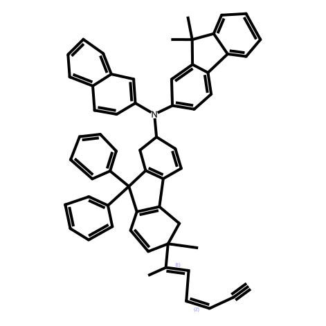 C#C/C=C\C=C(/C)C1(C)C=CC2=C(C1)C1=C(CC(N(c3ccc4c(c3)C(C)(C)c3ccccc3-4)c3ccc4ccccc4c3)C=C1)C2(c1ccccc1)c1ccccc1